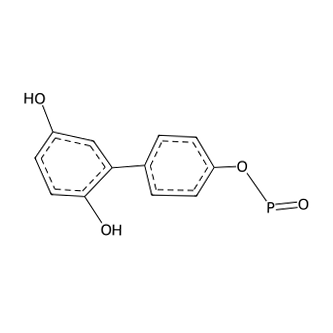 O=POc1ccc(-c2cc(O)ccc2O)cc1